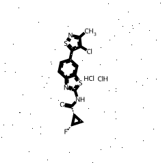 Cc1nsc(-c2ccc3nc(NC(=O)[C@@H]4C[C@@H]4F)sc3c2)c1Cl.Cl.Cl